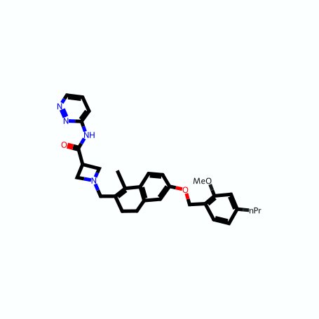 CCCc1ccc(COc2ccc3c(c2)CCC(CN2CC(C(=O)Nc4cccnn4)C2)=C3C)c(OC)c1